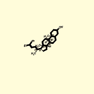 CCC(CC[C@@H](C)[C@H]1CC[C@H]2[C@@H]3CCC4CC(O)CC[C@]4(C)[C@H]3CC[C@]12C)C(C)C